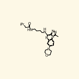 Cc1nnc2c(NCCCCNC(=O)CC(C)C)nc3cc(N4CCOCC4)ccc3n12